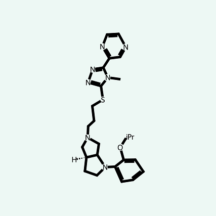 CC(C)Oc1ccccc1N1CC[C@H]2CN(CCCSc3nnc(-c4cnccn4)n3C)CC21